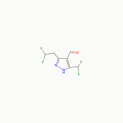 O=Cc1c(CC(F)F)n[nH]c1C(F)F